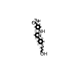 CN(C)C(=O)c1ccc(Nc2cccc(-c3ccc(SCCCO)cc3)n2)cc1